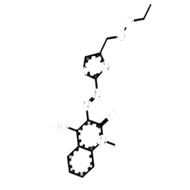 CCOOCc1csc(N=Nc2c(O)c3ccccc3n(C)c2=O)n1